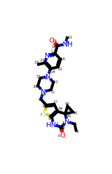 CCN1C(=O)Nc2sc(CN3CCN(c4ccc(C(=O)NC)nc4C)CC3)cc2C12CC2